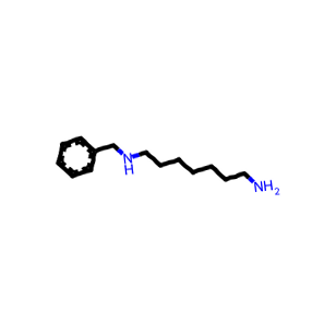 NCCCCCCCNCc1ccccc1